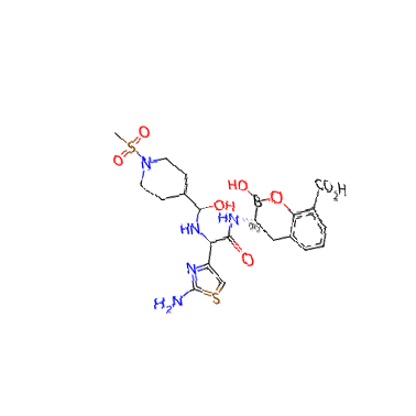 CS(=O)(=O)N1CCC(C(O)NC(C(=O)N[C@H]2Cc3cccc(C(=O)O)c3OB2O)c2csc(N)n2)CC1